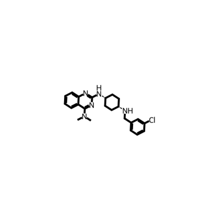 CN(C)c1nc(N[C@H]2CC[C@@H](NCc3cccc(Cl)c3)CC2)nc2ccccc12